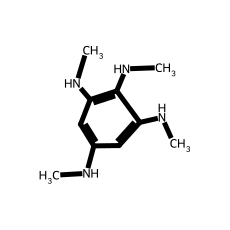 CNc1cc(NC)c(NC)c(NC)c1